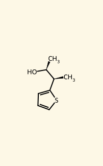 C[C@H](O)[C@@H](C)c1cccs1